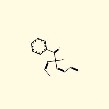 C=C/C=C\C(C)(/C=C\C)C(=O)c1ccccc1